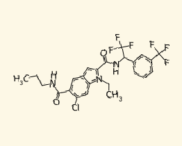 CCCNC(=O)c1cc2cc(C(=O)NC(c3cccc(C(F)(F)F)c3)C(F)(F)F)n(CC)c2cc1Cl